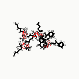 C=C(CCCC)[Si](O[Si](C)(C)CCCCC[Si](OCCCCCC)(O[Si](C)(C)C)O[Si](C)(C)C)(O[Si](C)(C)CCC[Si](OCCCCCC)(O[Si](C)(C)C)O[Si](C)(C)C)O[Si](C)(C)CCC[Si](O[SiH2]CC(C)c1ccccc1)(O[Si](C)(C)CC(C)c1ccccc1)O[Si](C)(C)CC(C)c1ccccc1